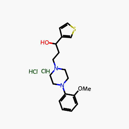 COc1ccccc1N1CCN(CCC(O)c2ccsc2)CC1.Cl.Cl